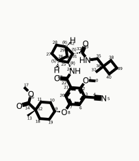 COc1c(C#N)cc(O[C@H]2CC[C@@](C)(C(=O)OC)CC2)cc1C(=O)N[C@@H]1[C@H]2CC[C@H](C2)[C@@H]1C(=O)NCC1(C)CCC1